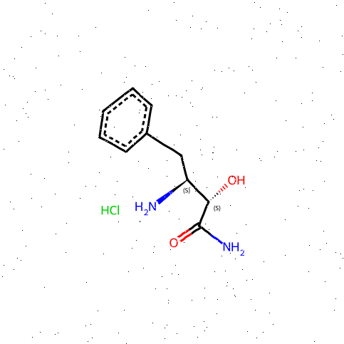 Cl.NC(=O)[C@@H](O)[C@@H](N)Cc1ccccc1